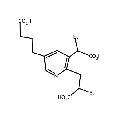 CCC(Cc1ncc(CCCC(=O)O)cc1C(CC)C(=O)O)C(=O)O